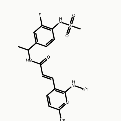 CCCNc1nc(C(F)(F)F)ccc1C=CC(=O)NC(C)c1ccc(NS(C)(=O)=O)c(F)c1